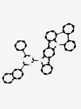 c1ccc(-c2nc(-c3ccc4ccccc4c3)nc(-n3c4ccccc4c4cc5c(cc43)c3cccc4c3n5-c3ccccc3-c3ccccc3-4)n2)cc1